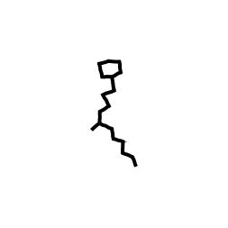 CCC[CH]CCC(C)CCCCC1CCCCC1